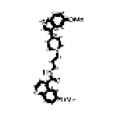 COc1ccc2nccc(C(=O)NCCCN3CCC(c4c[nH]c5ccc(OC)cc45)CC3)c2c1